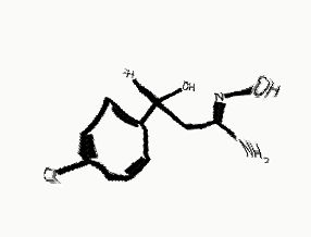 [2H]C(O)(CC(N)=NO)c1ccc(Cl)cc1